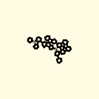 c1ccc(-c2ccc(N(c3ccc4c(c3)C3(c5ccccc5-c5ccccc53)c3cc(-c5cccc6c5c5ccccc5n6-c5ccccc5)ccc3-4)c3cccc4c3-c3ccccc3C43c4ccccc4-c4ccccc43)cc2)cc1